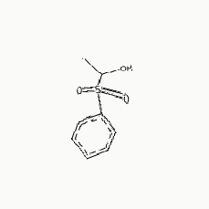 [CH2]C(O)S(=O)(=O)c1ccccc1